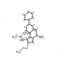 CCCc1nc2c(N)nc3cc(-c4cccnc4)ccc3c2n1NC(C)C